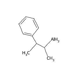 C[CH]([AlH2])C(C)c1ccccc1